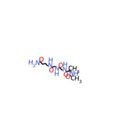 CC(=O)N[C@@H](C)C(=O)NCC(=O)NCC(=O)NCCCC(N)=O